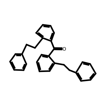 O=C(c1ccccc1CCc1ccccc1)c1ccccc1CCc1ccccc1